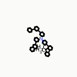 CC1(C)c2ccccc2-c2cccc(-c3ccc(N(c4cccc(-c5cccc(-c6ccccc6)c5)c4)c4cccc(-c5ccc6ccccc6c5)c4)cc3)c21